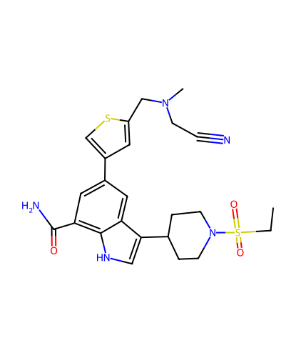 CCS(=O)(=O)N1CCC(c2c[nH]c3c(C(N)=O)cc(-c4csc(CN(C)CC#N)c4)cc23)CC1